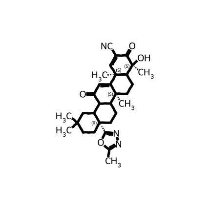 Cc1nnc([C@@]23CCC4C(C(=O)C=C5[C@@]6(C)C=C(C#N)C(=O)[C@@](C)(O)C6CC[C@]54C)C2CC(C)(C)CC3)o1